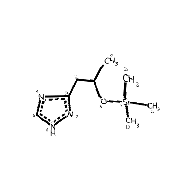 CC(Cc1nc[nH]n1)O[Si](C)(C)C